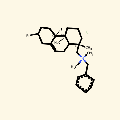 CC(C)C1CC[C@@H]2C(=CCC3[C@@](C)(C[N+](C)(C)Cc4ccccc4)CCC[C@@]32C)C1.[Cl-]